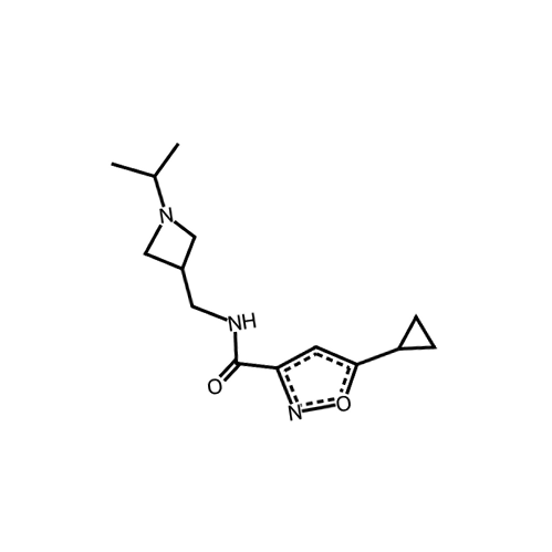 CC(C)N1CC(CNC(=O)c2cc(C3CC3)on2)C1